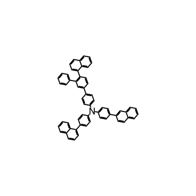 c1ccc(-c2cc(-c3ccc(N(c4ccc(-c5ccc6ccccc6c5)cc4)c4ccc(-c5cccc6ccccc56)cc4)cc3)ccc2-c2cccc3ccccc23)cc1